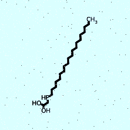 CCCCCCCCCCCCCCCCCCCCPCC(O)O